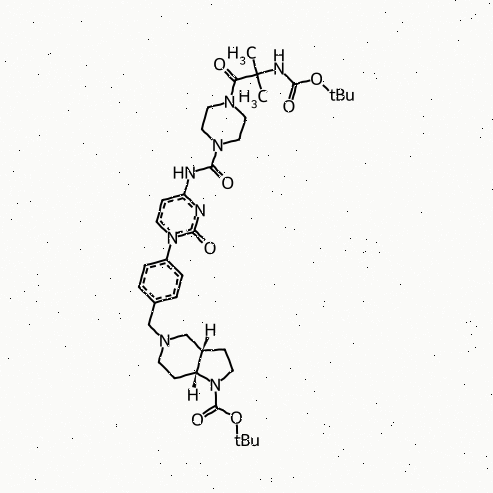 CC(C)(C)OC(=O)NC(C)(C)C(=O)N1CCN(C(=O)Nc2ccn(-c3ccc(CN4CC[C@@H]5[C@@H](CCN5C(=O)OC(C)(C)C)C4)cc3)c(=O)n2)CC1